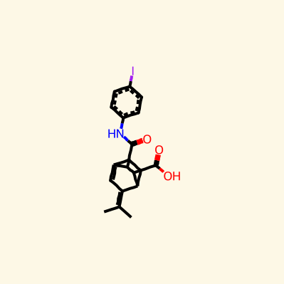 CC(C)=C1C=C2CCC1C(C(=O)O)C2C(=O)Nc1ccc(I)cc1